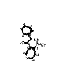 O=C(Cc1ccccc1)c1cnccc1[N+](=O)[O-]